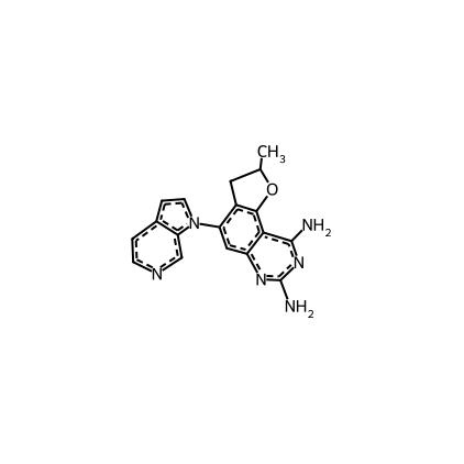 CC1Cc2c(-n3ccc4ccncc43)cc3nc(N)nc(N)c3c2O1